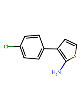 Nc1sccc1-c1ccc(Cl)cc1